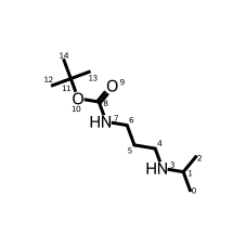 CC(C)NCCCNC(=O)OC(C)(C)C